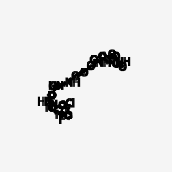 O=C1CCC(N2Cc3c(NC(=O)COCCOCCOCCNCCNCC(=O)c4ccc(Nc5ncc6c(n5)-c5ccc(Cl)cc5C(c5c(F)cccc5F)=NC6)cc4)cccc3C2=O)C(=O)N1